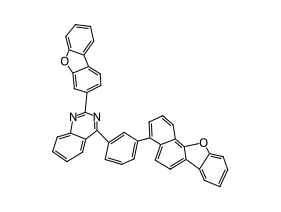 c1cc(-c2nc(-c3ccc4c(c3)oc3ccccc34)nc3ccccc23)cc(-c2cccc3c2ccc2c4ccccc4oc32)c1